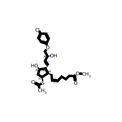 COC(=O)CCC/C=C\C[C@@H]1[C@@H](/C=C/[C@@H](O)COc2ccc(Cl)cc2)[C@H](O)C[C@@H]1SC(C)=O